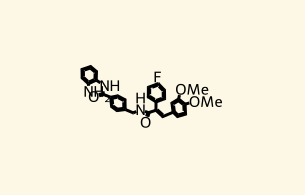 COc1ccc(C=C(C(=O)NCc2ccc(C(=O)Nc3ccccc3N)cc2)c2ccc(F)cc2)cc1OC